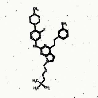 CN1CCN(c2ccc(Nc3nc(CCc4cccc(N)c4)c4ccn(COCC[Si](C)(C)C)c4n3)cc2F)CC1